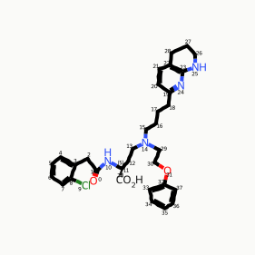 O=C(Cc1ccccc1Cl)N[C@@H](CCN(CCCCc1ccc2c(n1)NCCC2)CCOc1ccccc1)C(=O)O